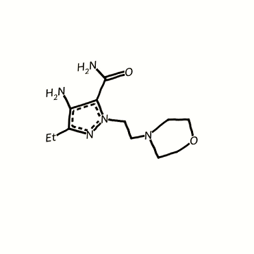 CCc1nn(CCN2CCOCC2)c(C(N)=O)c1N